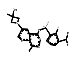 Cc1nnc(N[C@H](C)c2cccc(C(F)F)c2F)c2cc(N3CC(C)(O)C3)cnc12